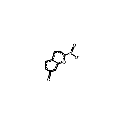 O=c1ccc2ccc([N+](=O)[O-])oc-2c1